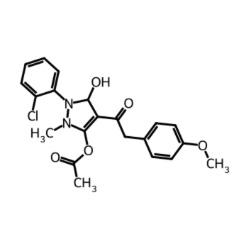 COc1ccc(CC(=O)C2=C(OC(C)=O)N(C)N(c3ccccc3Cl)C2O)cc1